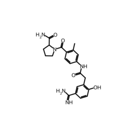 Cc1cc(NC(=O)Cc2cc(C(=N)N)ccc2O)ccc1C(=O)N1CCCC1C(N)=O